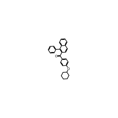 O=C(c1ccc(OC2CCCCC2)cc1)c1ccc2ccccc2c1-c1ccccc1